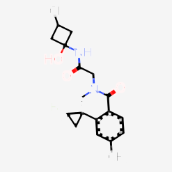 CC1CC(O)(NC(=O)CN2C[C@@]3(C[C@@H]3F)c3cc(C(F)(F)F)ccc3C2=O)C1